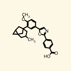 COc1ccc(-c2cnc(-c3ccc(C(=O)O)cc3)o2)cc1C12CC(C)CC3(CC3C1)C2